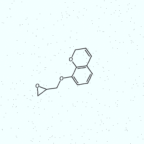 C1=Cc2cccc(OCC3CO3)c2OC1